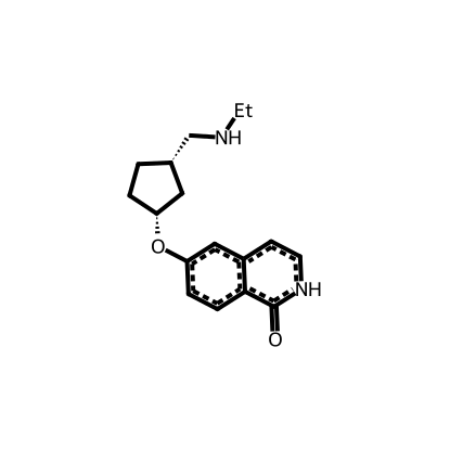 CCNC[C@H]1CC[C@@H](Oc2ccc3c(=O)[nH]ccc3c2)C1